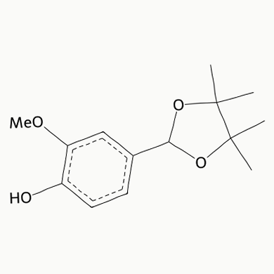 COc1cc(C2OC(C)(C)C(C)(C)O2)ccc1O